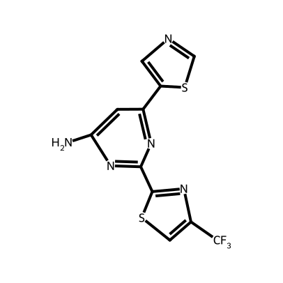 Nc1cc(-c2cncs2)nc(-c2nc(C(F)(F)F)cs2)n1